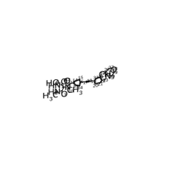 CNC(=O)C(C(=O)NO)N(C)C(=O)c1ccc(C#Cc2ccc(CN3CCCOCC3)c(C)c2)cc1